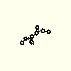 c1ccc(-c2ccc(-n3c4ccccc4c4cc(-c5ccc6c(c5)c5cnccc5n6-c5cccc(-c6ccccc6)c5)ccc43)cc2)cc1